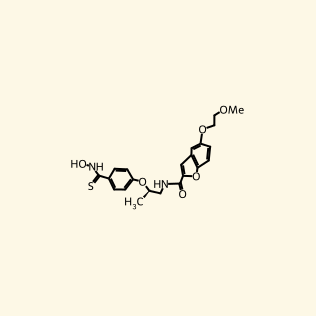 COCCOc1ccc2oc(C(=O)NC[C@@H](C)Oc3ccc(C(=S)NO)cc3)cc2c1